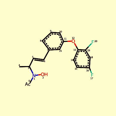 CC(=O)N(O)C(C)/C=C/c1cccc(Oc2ccc(F)cc2F)c1